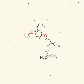 C=Cc1cc(OCCC(C)CCCC(C)C)ccc1OC